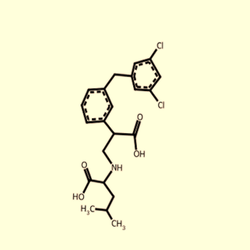 CC(C)CC(NCC(C(=O)O)c1cccc(Cc2cc(Cl)cc(Cl)c2)c1)C(=O)O